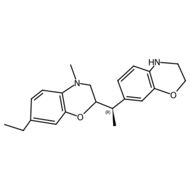 CCc1ccc2c(c1)OC([C@H](C)c1ccc3c(c1)OCCN3)CN2C